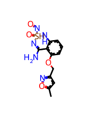 Cc1cc(COc2cccc3c2C(N)=N[SH](=O)(N=O)N3)no1